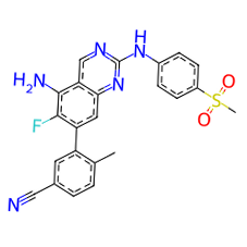 Cc1ccc(C#N)cc1-c1cc2nc(Nc3ccc(S(C)(=O)=O)cc3)ncc2c(N)c1F